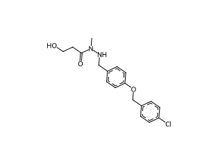 CN(NCc1ccc(OCc2ccc(Cl)cc2)cc1)C(=O)CCO